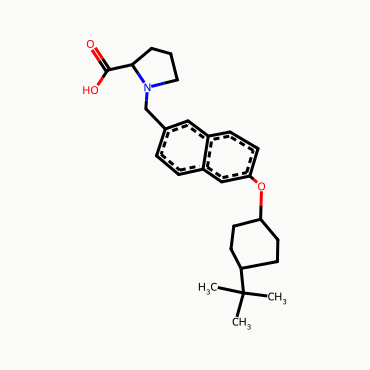 CC(C)(C)C1CCC(Oc2ccc3cc(CN4CCCC4C(=O)O)ccc3c2)CC1